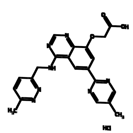 Cc1cnc(-c2cc(OCC(=O)O)c3ncnc(NCc4ccc(C)nn4)c3c2)nc1.Cl.Cl